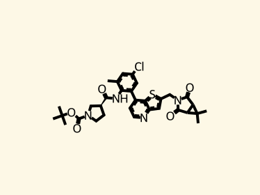 Cc1cc(Cl)cc(-c2ccnc3cc(CN4C(=O)C5C(C4=O)C5(C)C)sc23)c1NC(=O)[C@H]1CCN(C(=O)OC(C)(C)C)C1